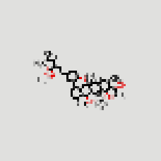 COC(O)C(CCC1CCC(OC)C(C2CCC(C)C3C(O)C4C(C)C5(C)C(O)C(C(C)O)C(C)CC5(C)CC4(C)CC23)C1)CC(C)C